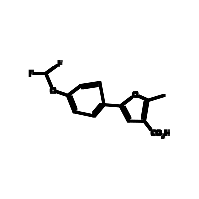 Cc1oc(-c2ccc(OC(F)F)cc2)cc1C(=O)O